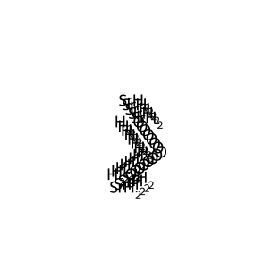 O.O.O.O.O.O.O.O.O.O.O.O.O.O.O.[SrH2].[SrH2].[SrH2].[SrH2].[SrH2].[SrH2].[SrH2].[SrH2].[SrH2]